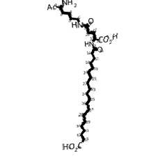 CC(=O)[C@@H](N)CCCCNC(=O)CC[C@H](NC(=O)CCCCCCCCCCCCCCCCCCC(=O)O)C(=O)O